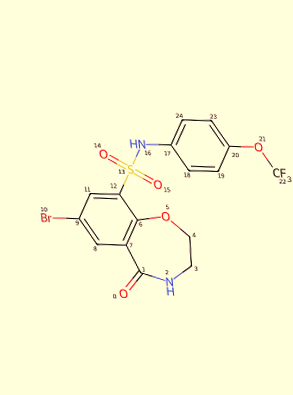 O=C1NCCOc2c1cc(Br)cc2S(=O)(=O)Nc1ccc(OC(F)(F)F)cc1